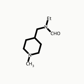 CCN(C=O)CC1CCN(C)CC1